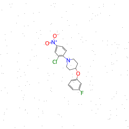 O=[N+]([O-])c1ccc(N2CCC(Oc3cccc(F)c3)CC2)c(Cl)c1